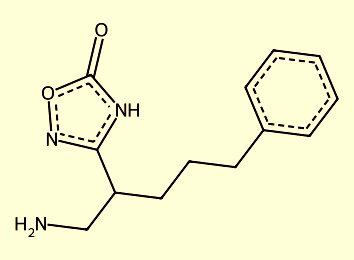 NCC(CCCc1ccccc1)c1noc(=O)[nH]1